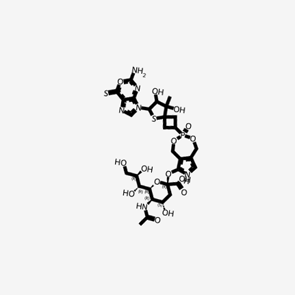 CC(=O)N[C@H]1[C@H]([C@H](O)[C@H](O)CO)O[C@](Oc2[nH]cc3c2COP(=O)(C2CC4(C2)SC(n2cnc5c(=S)oc(N)nc52)C(O)C4(C)O)OC3)(C(=O)O)C[C@@H]1O